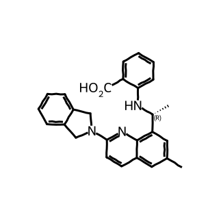 Cc1cc([C@@H](C)Nc2ccccc2C(=O)O)c2nc(N3Cc4ccccc4C3)ccc2c1